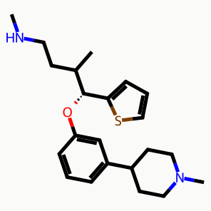 CNCCC(C)[C@@H](Oc1cccc(C2CCN(C)CC2)c1)c1cccs1